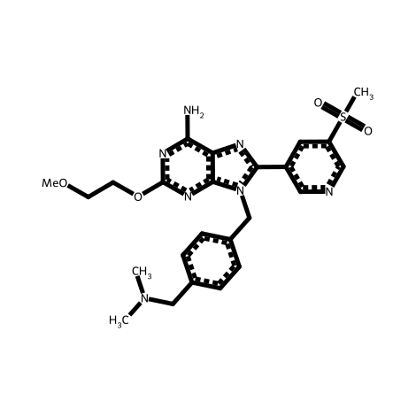 COCCOc1nc(N)c2nc(-c3cncc(S(C)(=O)=O)c3)n(Cc3ccc(CN(C)C)cc3)c2n1